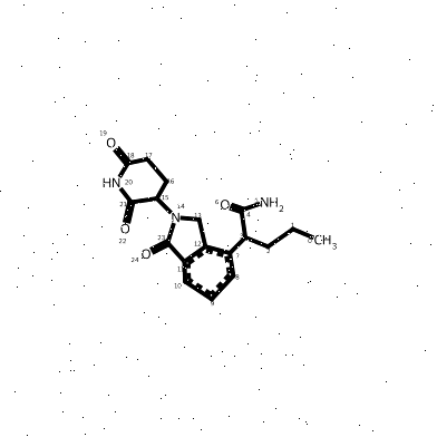 CCCC(C(N)=O)c1cccc2c1CN(C1CCC(=O)NC1=O)C2=O